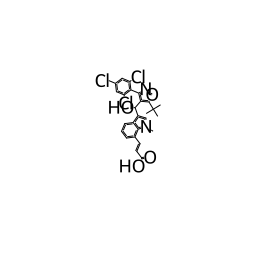 Cn1cc(C(O)c2c(-c3c(Cl)cc(Cl)cc3Cl)noc2C(C)(C)C)c2cccc(/C=C/C(=O)O)c21